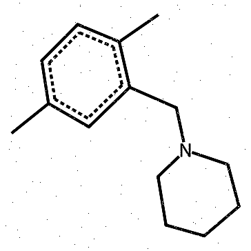 Cc1ccc(C)c(CN2CCCCC2)c1